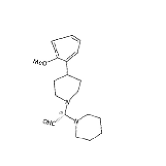 COc1ccccc1C1CCN([C@@H](C=O)N2CCCCC2)CC1